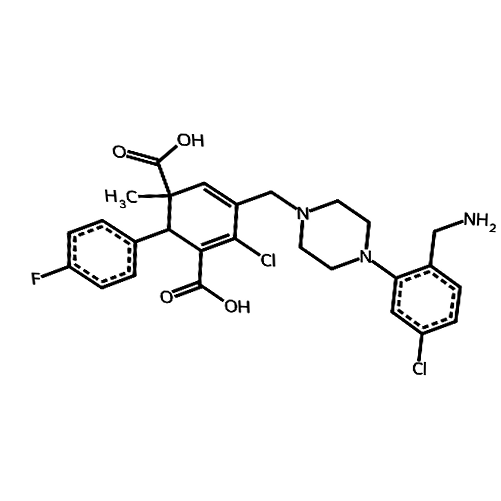 CC1(C(=O)O)C=C(CN2CCN(c3cc(Cl)ccc3CN)CC2)C(Cl)=C(C(=O)O)C1c1ccc(F)cc1